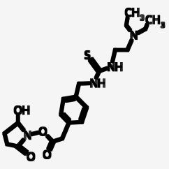 CCN(CC)CCNC(=S)NCc1ccc(CC(=O)ON2C(=O)CCC2O)cc1